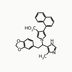 Cc1nc[nH]c1C(Cc1ccc2c(c1)OCO2)n1cc(C(=O)O)c(-c2cccc3ccccc23)c1